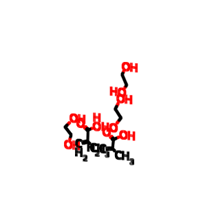 C=C(C)C(=O)O.C=C(C)C(=O)O.OCCO.OCCO.OCCO